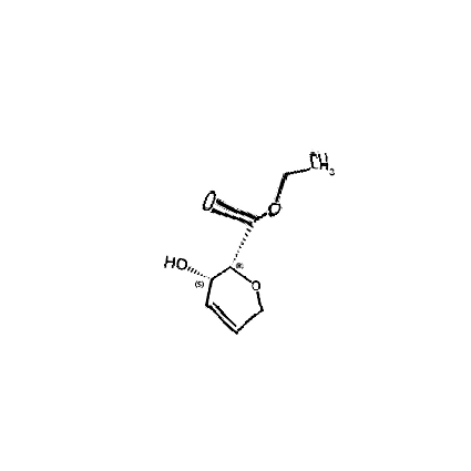 CCOC(=O)[C@@H]1OCC=C[C@@H]1O